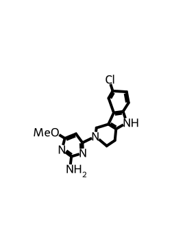 COc1cc(N2CCc3[nH]c4ccc(Cl)cc4c3C2)nc(N)n1